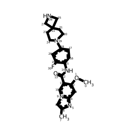 COc1cc2nc(C)cn2cc1C(=O)Nc1ccc(N2CCC3(CC2)CNC3)cc1F